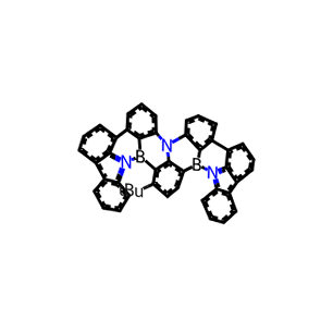 CC(C)(C)c1ccc2c3c1B1c4c(cccc4N3c3cccc4c3B2n2c3ccccc3c3cccc-4c32)-c2cccc3c4ccccc4n1c23